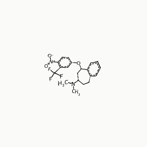 CN(C)C1CCc2ccccc2C(Oc2ccc([N+](=O)[O-])c(C(F)(F)F)c2)C1